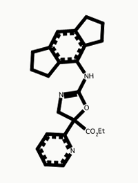 CCOC(=O)C1(c2ccccn2)CN=C(Nc2c3c(cc4c2CCC4)CCC3)O1